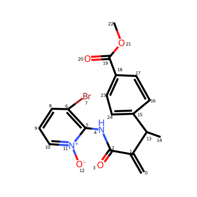 C=C(C(=O)Nc1c(Br)ccc[n+]1[O-])C(C)c1ccc(C(=O)OC)cc1